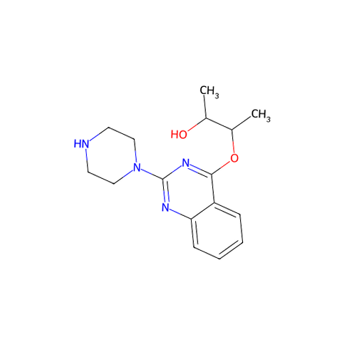 CC(O)C(C)Oc1nc(N2CCNCC2)nc2ccccc12